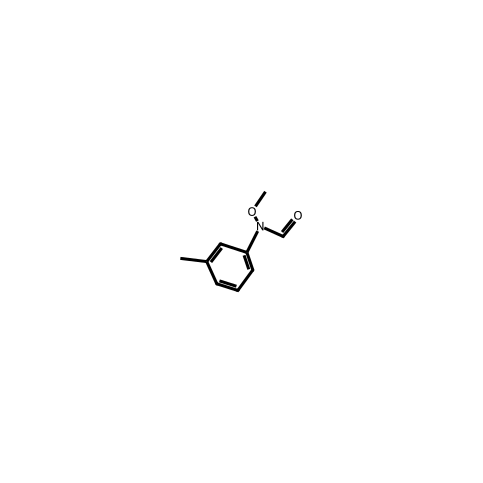 CON(C=O)c1cccc(C)c1